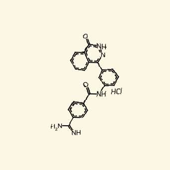 Cl.N=C(N)c1ccc(C(=O)Nc2cccc(-c3n[nH]c(=O)c4ccccc34)c2)cc1